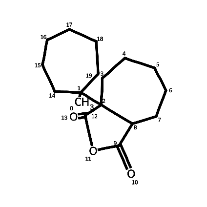 CC1(C23CCCCCC2C(=O)OC3=O)CCCCCC1